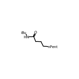 CCCCCCCCC(=O)NC(C)CC